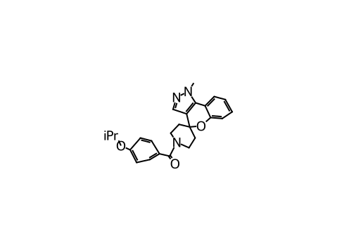 CC(C)Oc1ccc(C(=O)N2CCC3(CC2)Oc2ccccc2-c2c3cnn2C)cc1